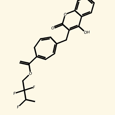 C=C(OCC(F)(F)C(C)F)C1=CC=C(Cc2c(O)c3ccccc3oc2=O)C=CC1